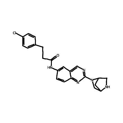 O=C(CCc1ccc(Cl)cc1)Nc1ccc2nc(N3CC4CC3CN4)ncc2c1